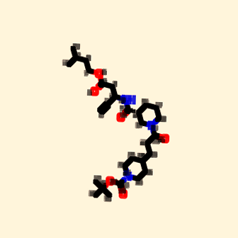 C#CC(CC(=O)OCCC(C)C)NC(=O)[C@@H]1CCCN(C(=O)CCC2CCN(C(=O)OC(C)(C)C)CC2)C1